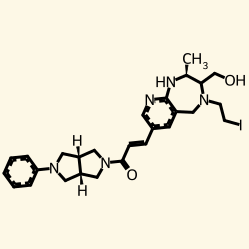 C[C@@H]1Nc2ncc(/C=C/C(=O)N3C[C@@H]4CN(c5ccccc5)C[C@@H]4C3)cc2CN(CCI)C1CO